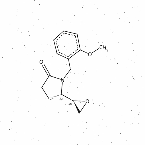 COc1ccccc1CN1C(=O)CC[C@H]1[C@@H]1CO1